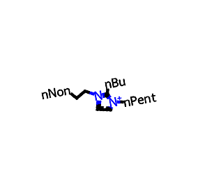 CCCCCCCCCCCn1cc[n+](CCCCC)c1CCCC